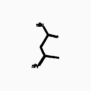 [CH2]CCC(C)CC(C)CCCC